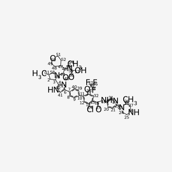 CC1CC(c2nc(-c3ccc(-c4cc(Cl)c(C(=O)Nc5ccc(N6CCNCC6C)nc5)cc4OC(F)(F)F)cc3)c[nH]2)N(C(=O)C(C2CCOCC2)N(C)C(=O)O)C1